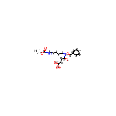 COC(=O)NCCCCCN(OCc1ccccc1)C(=O)CCC(=O)O